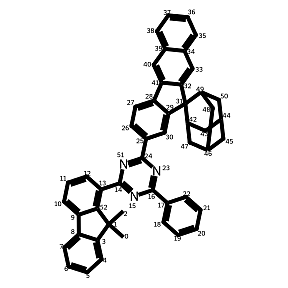 CC1(C)c2ccccc2-c2cccc(-c3nc(-c4ccccc4)nc(-c4ccc5c(c4)C4(c6cc7ccccc7cc6-5)C5CC6CC(C5)CC4C6)n3)c21